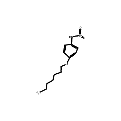 NCCCCCCOc1ccc(N[SH](=O)=O)cc1